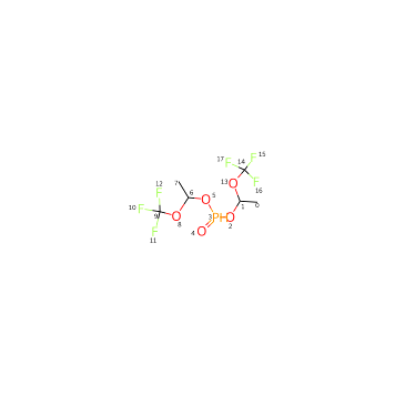 CC(O[PH](=O)OC(C)OC(F)(F)F)OC(F)(F)F